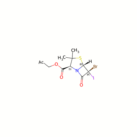 CC(=O)COC(=O)[C@@H]1N2C(=O)[C@@](Br)(I)[C@H]2SC1(C)C